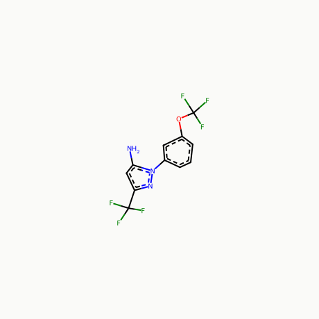 Nc1cc(C(F)(F)F)nn1-c1cccc(OC(F)(F)F)c1